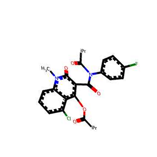 CC(C)C(=O)Oc1c(C(=O)N(C(=O)C(C)C)c2ccc(F)cc2)c(=O)n(C)c2cccc(Cl)c12